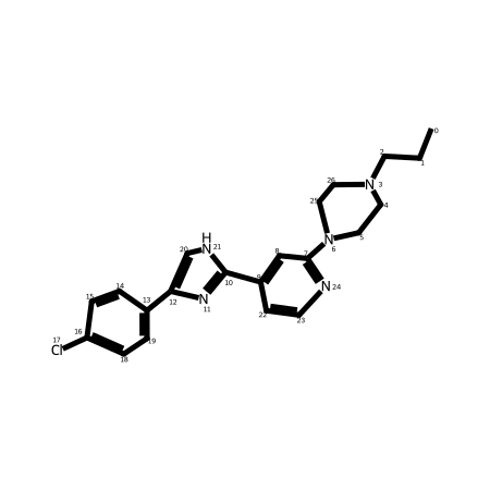 CCCN1CCN(c2cc(-c3nc(-c4ccc(Cl)cc4)c[nH]3)ccn2)CC1